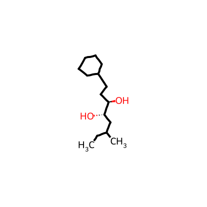 CCC(C)C[C@H](O)[C@H](O)CCC1CCCCC1